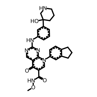 CONC(=O)c1cn(-c2ccc3c(c2)CCC3)c2nc(Nc3cccc(C4(O)CCCNC4)c3)ncc2c1=O